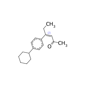 CC/C(=C/C(C)=O)c1ccc(C2CCCCC2)cc1